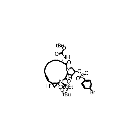 CCOC(=O)[C@@]12C[C@H]1/C=C\CCCCC[C@H](NC(=O)OC(C)(C)C)C(=O)N1C[C@@H](OS(=O)(=O)c3ccc(Br)cc3)C[C@H]1C(=O)N2C(=O)OC(C)(C)C